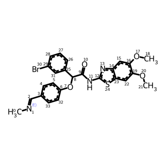 C/N=C/c1ccc(OC(C(=O)Nc2nc3cc(OC)c(OC)cc3s2)c2cccc(Br)c2)cc1